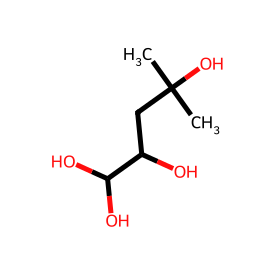 CC(C)(O)CC(O)C(O)O